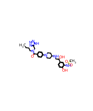 CCCCN(Cc1nnn[nH]1)C(=O)c1ccc(N2CCC(NC[C@@H](O)c3ccc(O)c(NS(C)(=O)=O)c3)CC2)cc1